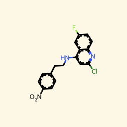 O=[N+]([O-])c1ccc(CCNc2cc(Cl)nc3ccc(F)cc23)cc1